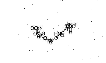 COc1ccc(OC)c(N2CC(C(=O)Nc3ccc(-c4cn(CCOCCNC(=O)CCCC[C@@H]5SC[C@@H]6NC(=O)N[C@@H]65)nn4)cc3)CC2=O)c1